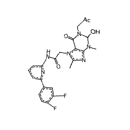 CC(=O)CN1C(=O)c2c(nc(C)n2CC(=O)Nc2cccc(-c3ccc(F)c(F)c3)n2)N(C)C1O